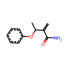 C=C(C(N)=O)C(C)Oc1ccccc1